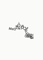 COCC(COc1cc2sc(-c3cc(C)cc4nc(OC)cnc34)nc2cc1F)OC(=O)Nc1cccnc1